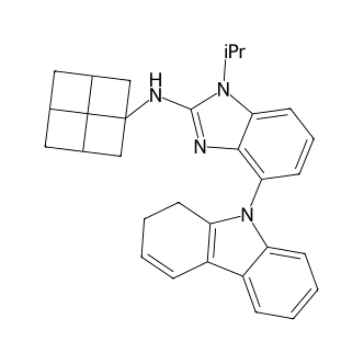 CC(C)n1c(NC23CC4CC5CC(C2)C543)nc2c(-n3c4c(c5ccccc53)C=CCC4)cccc21